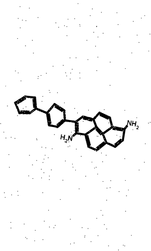 Nc1ccc2ccc3c(N)c(-c4ccc(-c5ccccc5)cc4)cc4ccc1c2c43